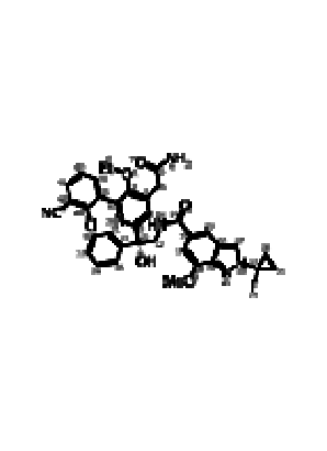 CCOc1c(CC(N)=O)cc([C@@](O)(CNC(=O)c2cc(OC)c3nn(C4(F)CC4)cc3c2)c2ccccc2)nc1-c1cccc(C#N)c1Cl